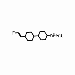 CCCCCC1CCC(C2CCC(C=CF)CC2)CC1